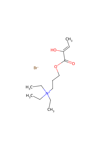 CC=C(O)C(=O)OCCC[N+](CC)(CC)CC.[Br-]